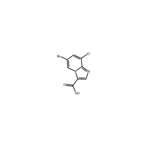 O=C(O)c1cnc2c(Cl)cc(Br)cn12